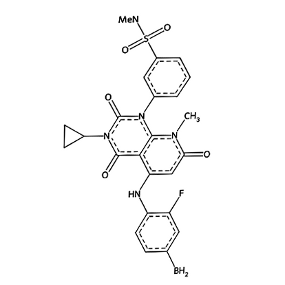 Bc1ccc(Nc2cc(=O)n(C)c3c2c(=O)n(C2CC2)c(=O)n3-c2cccc(S(=O)(=O)NC)c2)c(F)c1